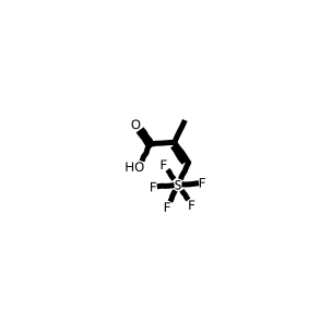 CC(=CS(F)(F)(F)(F)F)C(=O)O